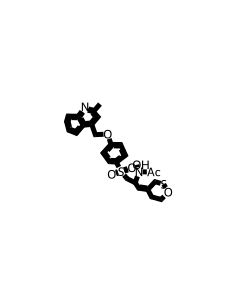 CC(=O)N(O)C(C=C1CCOSC1)CS(=O)(=O)c1ccc(OCc2cc(C)nc3ccccc23)cc1